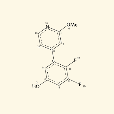 COc1cc(-c2cc(O)cc(F)c2F)ccn1